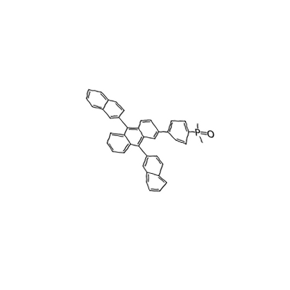 CP(C)(=O)c1ccc(-c2ccc3c(-c4ccc5ccccc5c4)c4ccccc4c(-c4ccc5ccccc5c4)c3c2)cc1